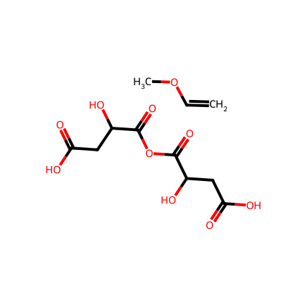 C=COC.O=C(O)CC(O)C(=O)OC(=O)C(O)CC(=O)O